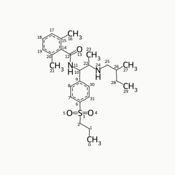 CCCS(=O)(=O)c1ccc(C(NC(=O)c2c(C)cccc2C)C(C)NCC(C)CC)cc1